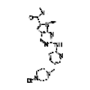 C=Cn1c(C(=O)N(C)C)cc2cnc(Nc3ccc(CN4CCN(CC)CC4)cn3)nc21